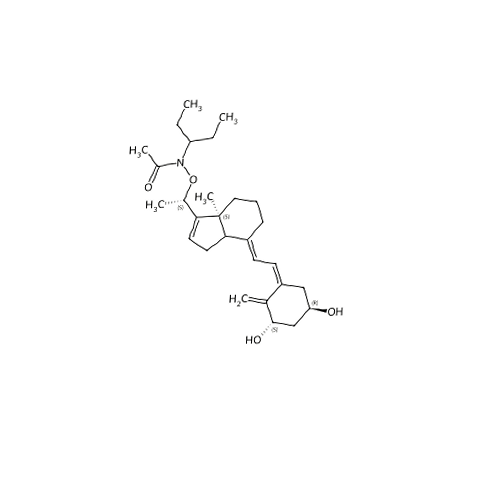 C=C1C(=CC=C2CCC[C@]3(C)C([C@H](C)ON(C(C)=O)C(CC)CC)=CCC23)C[C@@H](O)C[C@@H]1O